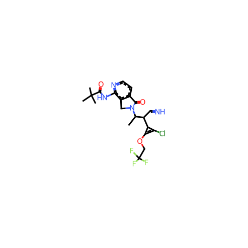 CC(C(C=N)C1C(Cl)=C1OCC(F)(F)F)N1Cc2c(ccnc2NC(=O)C(C)(C)C)C1=O